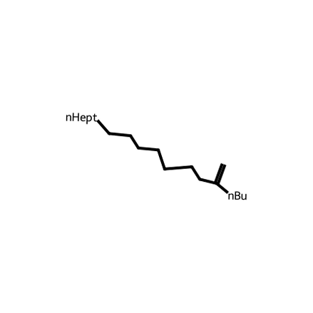 C=C(CCCC)CCCCCCCCCCCCCC